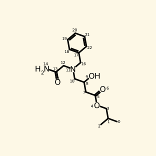 CC(C)COC(=O)CC(O)CN(CC(N)=O)Cc1ccccc1